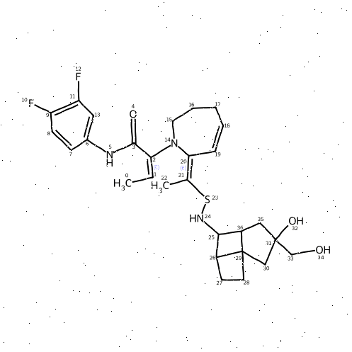 C/C=C(\C(=O)Nc1ccc(F)c(F)c1)N1CCCC=C/C1=C(/C)SNC1C2CCC23CC(O)(CO)CC13